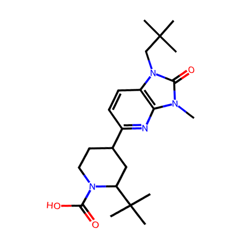 Cn1c(=O)n(CC(C)(C)C)c2ccc(C3CCN(C(=O)O)C(C(C)(C)C)C3)nc21